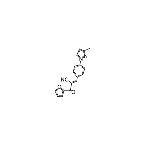 Cc1ccn(-c2ccc(/C=C(\C#N)C(=O)c3ccco3)cc2)n1